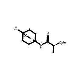 CO[C@@H](C)C(=O)NC12CCC(C(C)C)(CC1)CC2